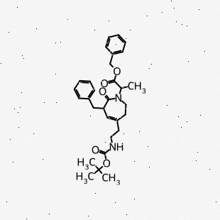 CC(C(=O)OCc1ccccc1)N1CCC(CCNC(=O)OC(C)(C)C)=CC(Cc2ccccc2)C1=O